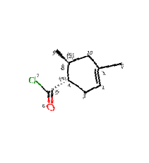 CC1=CC[C@H](C(=O)Cl)[C@@H](C)C1